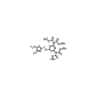 CCn1nc(COc2cc(N(C(=O)OC(C)(C)C)C(=O)OC(C)(C)C)nc(N(C(=O)OC(C)(C)C)C(=O)OC(C)(C)C)c2)cc1C(F)(F)F